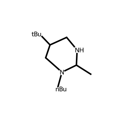 CCCCN1CC(C(C)(C)C)CNC1C